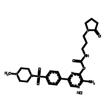 CN1CCN(S(=O)(=O)c2ccc(-c3cnc(N)c(OC(=O)NCCCN4CCCC4=O)n3)cc2)CC1.Cl